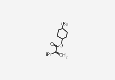 C=C(C(=O)OC1CCC(C(C)(C)C)CC1)C(C)C